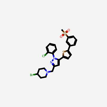 CS(=O)(=O)c1cccc(-c2ccc(-c3cc(CN4CCC(Br)CC4)nn3-c3ccccc3Cl)s2)c1